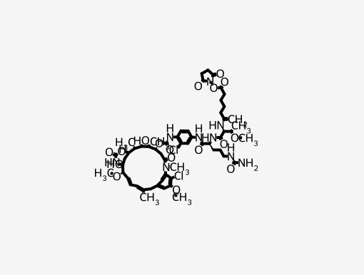 C=C(CCCCC(=O)ON1C(=O)CCC1=O)N[C@H](C(=O)N[C@@H](CCCNC(N)=O)C(=O)Nc1ccc(NC(=O)O[C@H]2CC(=O)N(C)c3cc(cc(OC)c3Cl)C/C(C)=C/C=C/[C@@H](OC)[C@@]3(O)C[C@H](OC(=O)N3)[C@@H](C)[C@@H]3O[C@@]23C)c(Cl)c1)C(C)OC